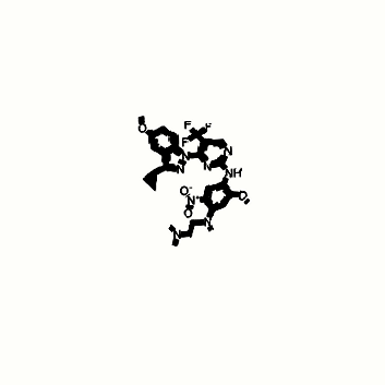 COc1ccc2c(c1)c(C1CC1)nn2-c1nc(Nc2cc([N+](=O)[O-])c(N(C)CCN(C)C)cc2OC)ncc1C(F)(F)F